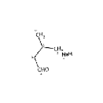 CC(C)CC=O.[NaH]